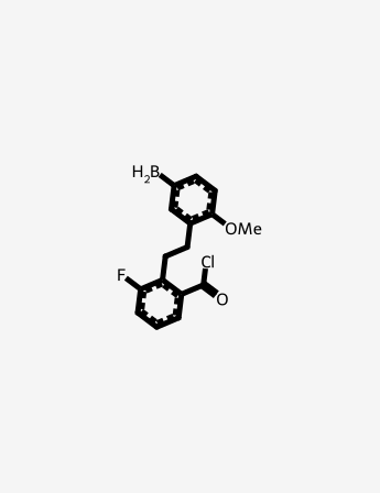 Bc1ccc(OC)c(CCc2c(F)cccc2C(=O)Cl)c1